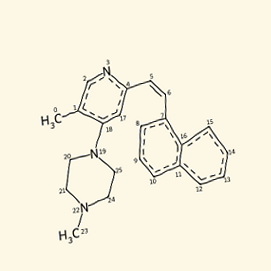 Cc1cnc(/C=C\c2cccc3ccccc23)cc1N1CCN(C)CC1